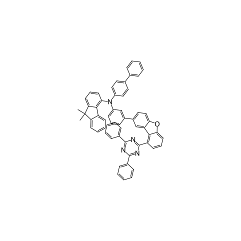 CC1(C)c2ccccc2-c2c(N(c3ccc(-c4ccccc4)cc3)c3cccc(-c4ccc5oc6cccc(-c7nc(-c8ccccc8)nc(-c8ccccc8)n7)c6c5c4)c3)cccc21